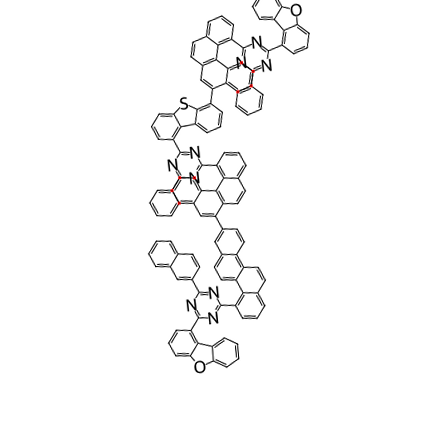 c1ccc(-c2nc(-c3cccc4oc5ccccc5c34)nc(-c3cccc4ccc5cc(-c6cccc7c6sc6cccc(-c8nc(-c9ccccc9)nc(-c9cccc%10ccc%11c(-c%12ccc%13c(ccc%14c%13ccc%13cccc(-c%15nc(-c%16ccc%17ccccc%17c%16)nc(-c%16cccc%17oc%18ccccc%18c%16%17)n%15)c%13%14)c%12)cc%12ccccc%12c%11c9%10)n8)c67)c6ccccc6c5c34)n2)cc1